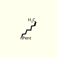 C/[C]=C\CCCCCCCCCC